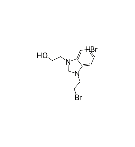 Br.OCCN1CN(CCBr)c2ccccc21